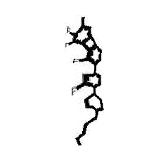 CCCCCC1CCC(c2ccc(-c3ccc4c(c3F)-c3c-4cc(C)c(F)c3F)cc2F)CC1